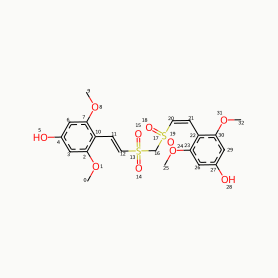 COc1cc(O)cc(OC)c1C=CS(=O)(=O)CS(=O)(=O)/C=C\c1c(OC)cc(O)cc1OC